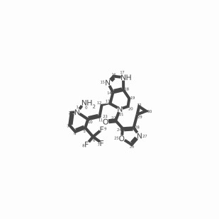 NN1C=CC=C(C(F)(F)F)/C1=C/C[C@H]1c2nc[nH]c2CCN1C(=O)c1ocnc1C1CC1